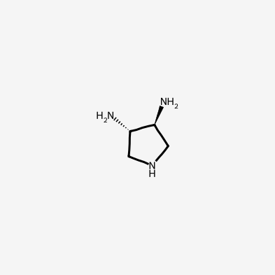 N[C@H]1CNC[C@@H]1N